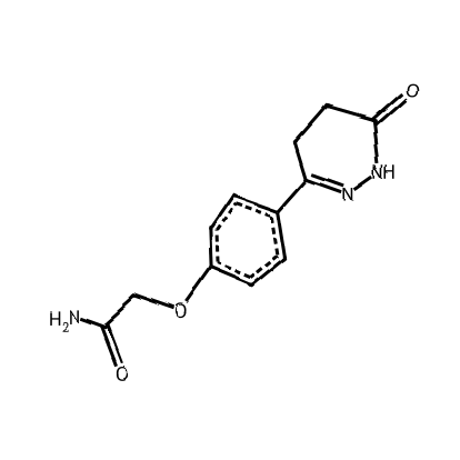 NC(=O)COc1ccc(C2=NNC(=O)CC2)cc1